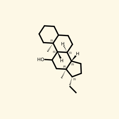 CC[C@H]1CC[C@H]2[C@@H]3CCC4CCCC[C@]4(C)[C@H]3C(O)C[C@]12C